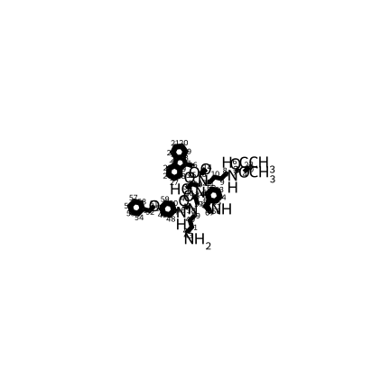 CC(C)(C)OC(=O)NCCCCN(C(=O)OCC1c2ccccc2-c2ccccc21)C(C(=O)O)N(C(=O)CN(CCCCN)C(=O)Nc1ccc(OCc2ccccc2)cc1)c1cccc2[nH]ccc12